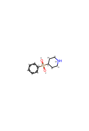 O=S(=O)(c1[c]cccc1)C1CCNCC1